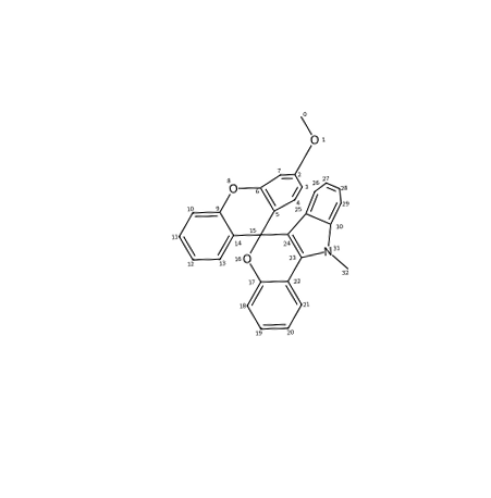 COc1ccc2c(c1)Oc1ccccc1C21Oc2ccccc2-c2c1c1ccccc1n2C